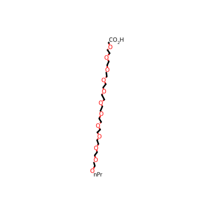 CCCOCCOCCOCCOCCOCCOCCOCCOCCOCCOCCOCCOCC(=O)O